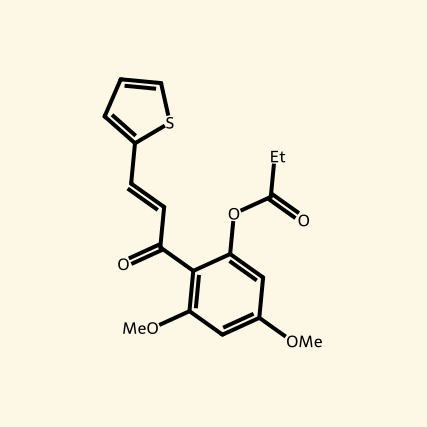 CCC(=O)Oc1cc(OC)cc(OC)c1C(=O)/C=C/c1cccs1